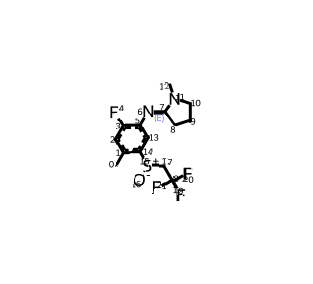 Cc1cc(F)c(/N=C2\CCCN2C)cc1[S+]([O-])CC(F)(F)F